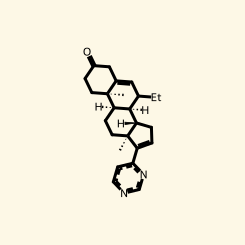 CCC1C=C2CC(=O)CC[C@]2(C)[C@@H]2CC[C@]3(C)C(c4ccncn4)=CC[C@H]3[C@H]12